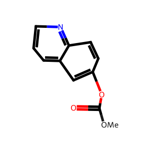 COC(=O)Oc1ccc2ncccc2c1